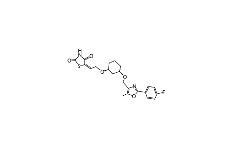 Cc1oc(-c2ccc(F)cc2)nc1CO[C@@H]1CCC[C@H](OCC=C2SC(=O)NC2=O)C1